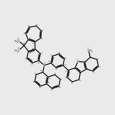 CC1CC=Cc2c1oc1c2CCC=C1c1cccc(N(c2ccc3c(c2)C2=C(C=CCC=C2)C3(C)C)C2CC=CC3=C2CCC=C3)c1